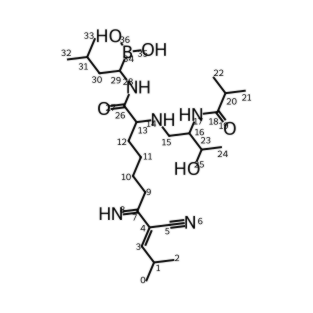 CC(C)C=C(C#N)C(=N)CCCCC(NCC(NC(=O)C(C)C)C(C)O)C(=O)NC(CC(C)C)B(O)O